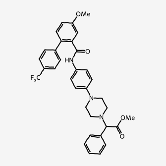 COC(=O)C(c1ccccc1)N1CCN(c2ccc(NC(=O)c3cc(OC)ccc3-c3ccc(C(F)(F)F)cc3)cc2)CC1